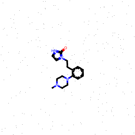 CN1CCN(c2ccccc2CCn2cc[nH]c2=O)CC1